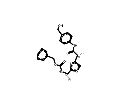 CC(C)[C@H](NC(=O)OCc1ccccc1)c1nc([C@@H](C)C(=O)Nc2ccc(CO)cc2)cs1